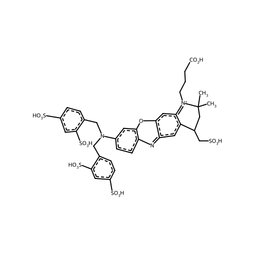 CC1(C)CC(CS(=O)(=O)O)c2cc3c(cc2=[N+]1CCCC(=O)O)Oc1cc(N(Cc2ccc(S(=O)(=O)O)cc2S(=O)(=O)O)Cc2ccc(S(=O)(=O)O)cc2S(=O)(=O)O)ccc1N=3